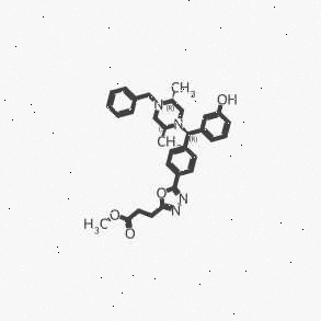 COC(=O)CCc1nnc(-c2ccc([C@H](c3cccc(O)c3)N3C[C@@H](C)N(Cc4ccccc4)C[C@@H]3C)cc2)o1